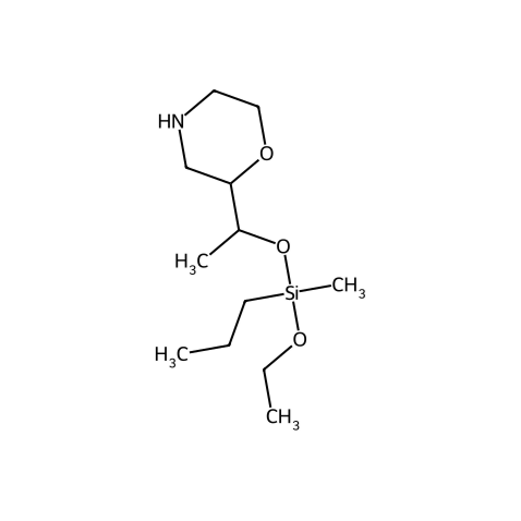 CCC[Si](C)(OCC)OC(C)C1CNCCO1